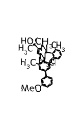 COc1cccc(-c2cc(C)c(-n3cc(C(C)(C)O)nc3-c3c(C)cccc3C)c(Cl)c2)c1